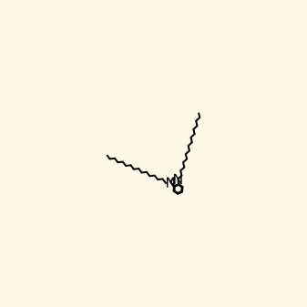 CCCCCCCCCCCCCCCCN1CN(CCCCCCCCCCCCCCCC)c2ccccc21